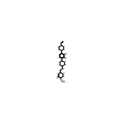 C=CC1CCC(c2ccc(C3CCC(CCC4C=C(F)C(OCC)CC4)CC3)c(F)c2F)CC1